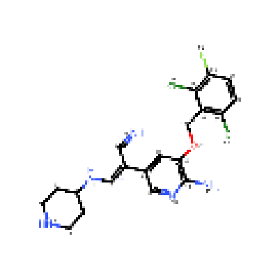 N=C/C(=C\NC1CCNCC1)c1cnc(N)c(OCc2c(Cl)ccc(F)c2Cl)c1